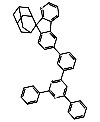 c1ccc(-c2nc(-c3ccccc3)nc(-c3cccc(-c4ccc5c(c4)-c4cccnc4C54C5CC6CC(C5)CC4C6)c3)n2)cc1